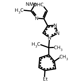 CCc1ccc(C(C)(C)n2cc(C(=C/C=O)/N=C(/C)NC)nn2)c(C)c1